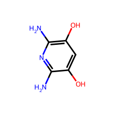 Nc1nc(N)c(O)cc1O